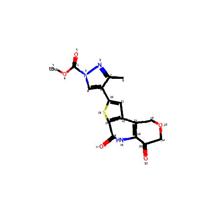 Cc1nn(C(=O)OC(C)(C)C)cc1-c1cc2c3c([nH]c(=O)c2s1)C(=O)COC3